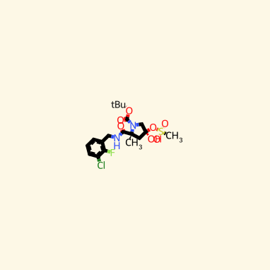 CC(C)(C)OC(=O)N1C[C@](O)(OS(C)(=O)=O)C[C@@]1(C)C(=O)NCc1cccc(Cl)c1F